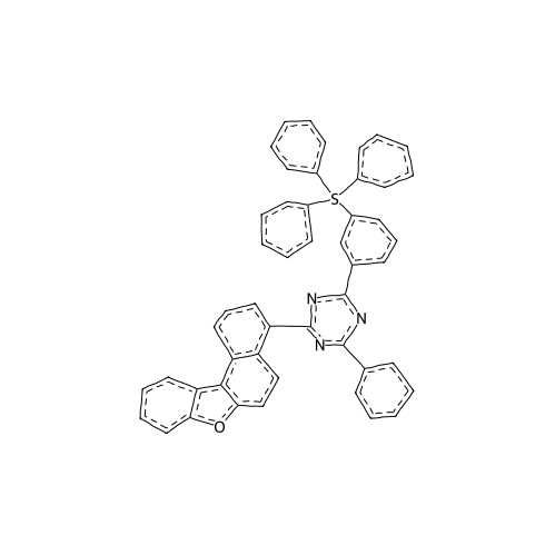 c1ccc(-c2nc(-c3cccc(S(c4ccccc4)(c4ccccc4)c4ccccc4)c3)nc(-c3cccc4c3ccc3oc5ccccc5c34)n2)cc1